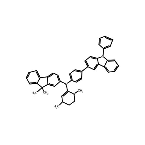 CC1C=C(N(c2ccc(-c3ccc4c(c3)c3ccccc3n4-c3ccccc3)cc2)c2ccc3c(c2)C(C)(C)c2ccccc2-3)N(C)CC1